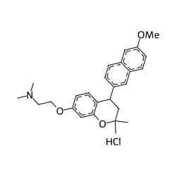 COc1ccc2cc(C3CC(C)(C)Oc4cc(OCCN(C)C)ccc43)ccc2c1.Cl